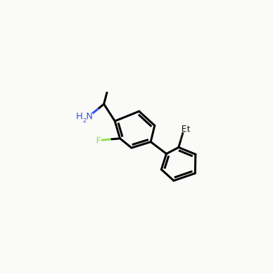 CCc1ccccc1-c1ccc(C(C)N)c(F)c1